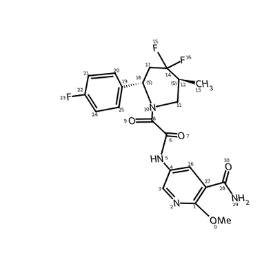 COc1ncc(NC(=O)C(=O)N2C[C@H](C)C(F)(F)C[C@H]2c2ccc(F)cc2)cc1C(N)=O